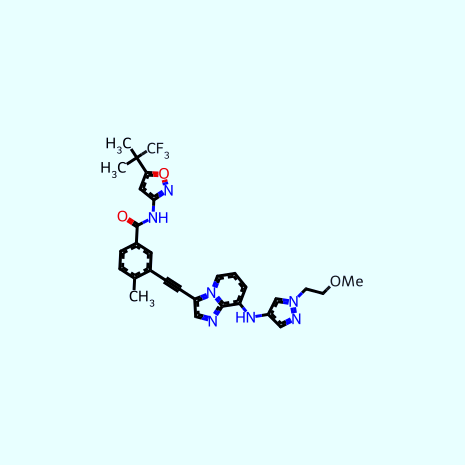 COCCn1cc(Nc2cccn3c(C#Cc4cc(C(=O)Nc5cc(C(C)(C)C(F)(F)F)on5)ccc4C)cnc23)cn1